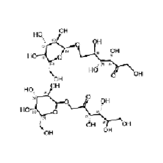 O=C(CO)[C@@H](O)[C@H](O)[C@H](O)CO[C@H]1O[C@H](CO)[C@@H](O)[C@H](O)[C@H]1O.O=C(COC1O[C@H](CO)[C@@H](O)[C@H](O)[C@H]1O)[C@@H](O)[C@H](O)[C@H](O)CO